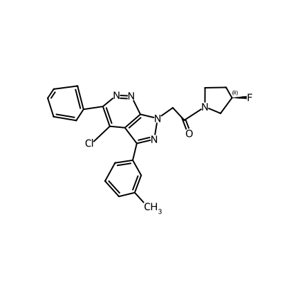 Cc1cccc(-c2nn(CC(=O)N3CC[C@@H](F)C3)c3nnc(-c4ccccc4)c(Cl)c23)c1